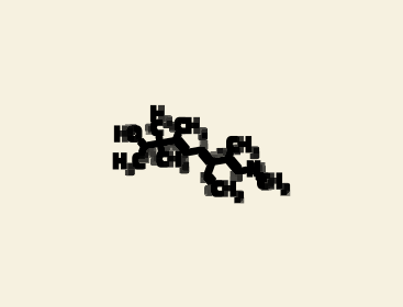 C=CC(=C\C=C(/C)C(C)(C)C(C)O)/C(C)=C/N=C